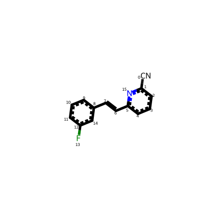 N#Cc1cccc(C=Cc2cccc(F)c2)n1